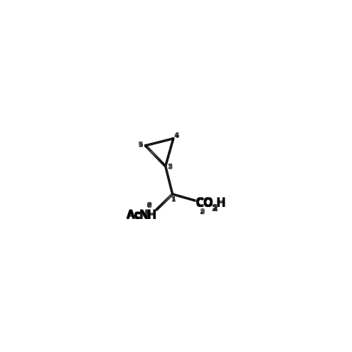 CC(=O)NC(C(=O)O)C1CC1